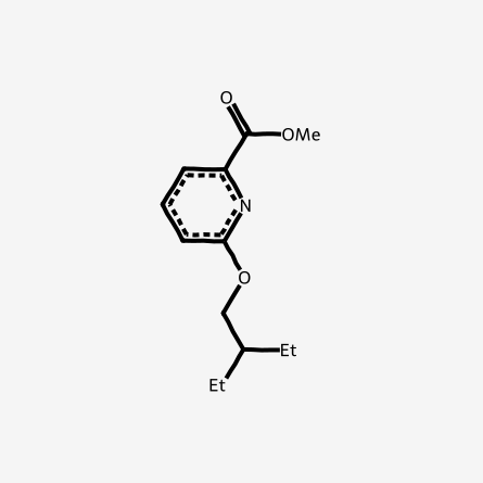 CCC(CC)COc1cccc(C(=O)OC)n1